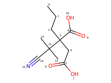 CCCC(CC(=O)O)(C(=O)O)C(C)(C)C#N